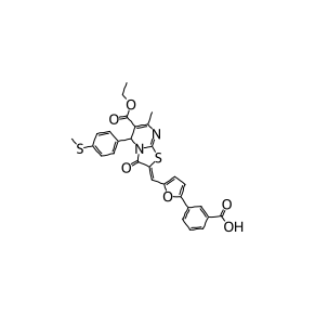 CCOC(=O)C1=C(C)N=c2sc(=Cc3ccc(-c4cccc(C(=O)O)c4)o3)c(=O)n2C1c1ccc(SC)cc1